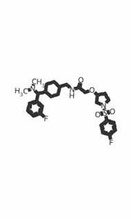 CN(C)C(c1cccc(F)c1)C1CCC(CNC(=O)COC2CCN(S(=O)(=O)c3ccc(F)cc3)C2)CC1